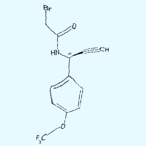 C#C[C@H](NC(=O)CBr)c1ccc(OC(F)(F)F)cc1